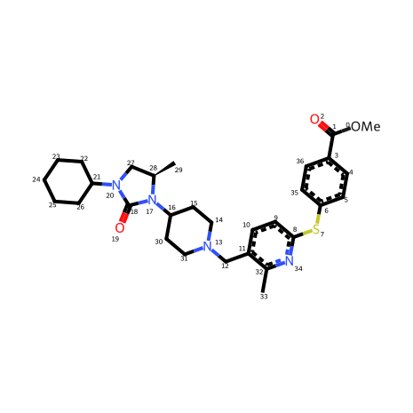 COC(=O)c1ccc(Sc2ccc(CN3CCC(N4C(=O)N(C5CCCCC5)C[C@H]4C)CC3)c(C)n2)cc1